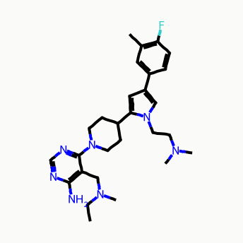 CCN(C)Cc1c(N)ncnc1N1CCC(c2cc(-c3ccc(F)c(C)c3)cn2CCN(C)C)CC1